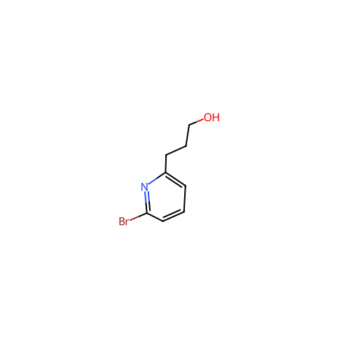 OCCCc1cccc(Br)n1